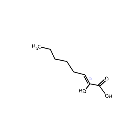 CCCCC/C=C(\O)C(=O)O